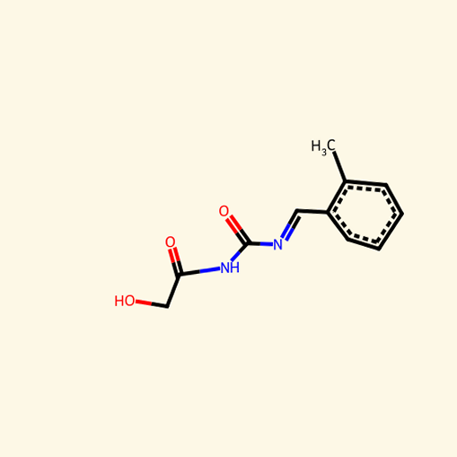 Cc1ccccc1C=NC(=O)NC(=O)CO